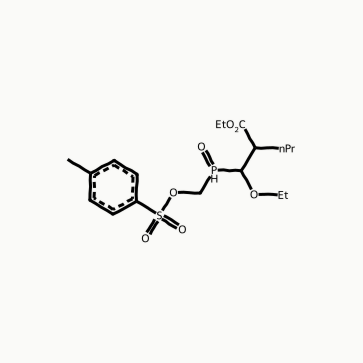 CCCC(C(=O)OCC)C(OCC)[PH](=O)COS(=O)(=O)c1ccc(C)cc1